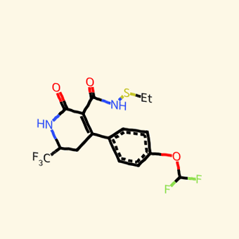 CCSNC(=O)C1=C(c2ccc(OC(F)F)cc2)CC(C(F)(F)F)NC1=O